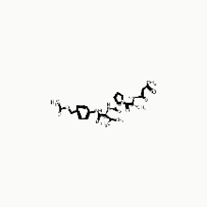 CC(=O)CC(=O)N[C@H](C)C(=O)N1CCC[C@H]1C(=O)N[C@H](C(=O)Nc1ccc(COC(C)=O)cc1)C(C)C